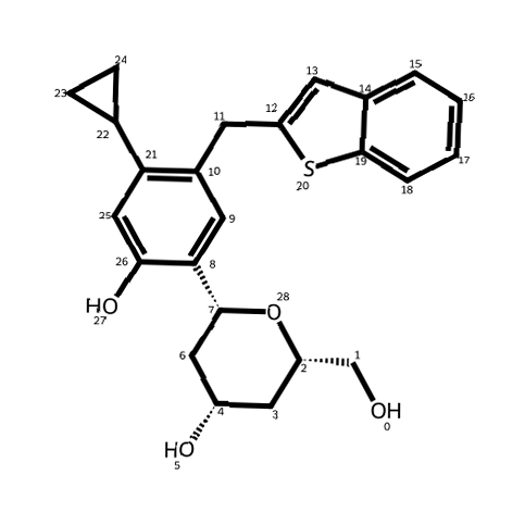 OC[C@@H]1C[C@H](O)C[C@H](c2cc(Cc3cc4ccccc4s3)c(C3CC3)cc2O)O1